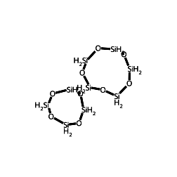 O1[SiH2]O[SiH2]O[SiH2]O[SiH2]1.O1[SiH2]O[SiH2]O[SiH2]O[SiH2]O[SiH2]1